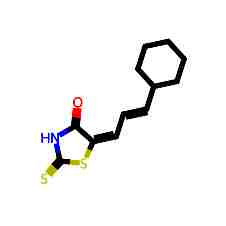 O=C1NC(=S)SC1=CC=CC1CCCCC1